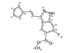 COC(=O)c1cc2c(C=Cc3cccs3)n[nH]c2cc1F